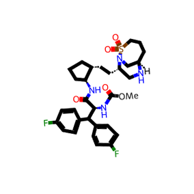 COC(=O)N[C@H](C(=O)N[C@H]1CCC[C@@H]1CC[C@H]1CN[C@@H]2CCCS(=O)(=O)N1C2)C(c1ccc(F)cc1)c1ccc(F)cc1